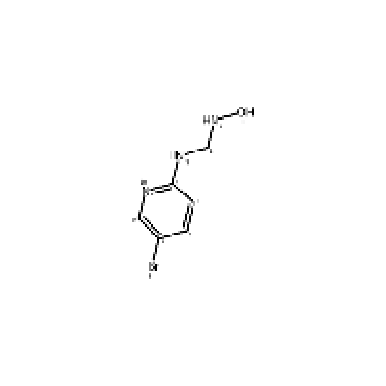 ONCNc1ccc(Br)cn1